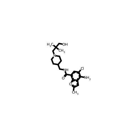 Cc1cc2c(N)c(Cl)cc(C(=O)NCC3CCN(CC(C)(C)CO)CC3)c2o1